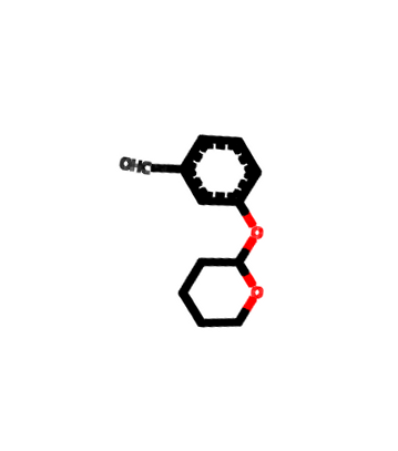 O=Cc1cccc(OC2CCCCO2)c1